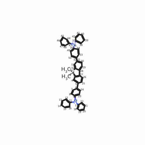 C[Si]1(C)c2cc(-c3ccc(N(c4ccccc4)c4ccccc4)cc3)ccc2-c2ccc(-c3ccc(N(c4ccccc4)c4ccccc4)cc3)cc21